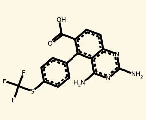 Nc1nc(N)c2c(-c3ccc(SC(F)(F)F)cc3)c(C(=O)O)ccc2n1